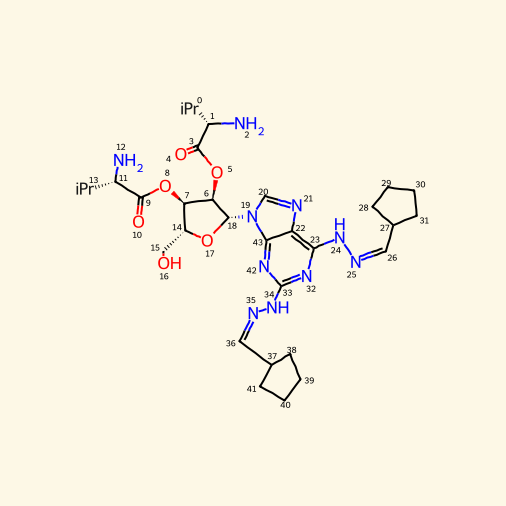 CC(C)[C@H](N)C(=O)O[C@@H]1[C@H](OC(=O)[C@@H](N)C(C)C)[C@@H](CO)O[C@H]1n1cnc2c(N/N=C\C3CCCC3)nc(N/N=C\C3CCCC3)nc21